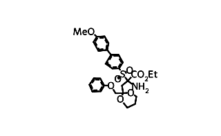 CCOC(=O)C(N)(CC1(COc2ccccc2)OCCCO1)S(=O)(=O)c1ccc(-c2ccc(OC)cc2)cc1